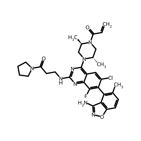 C=CC(=O)N1C[C@H](C)N(c2nc(NCCC(=O)N3CCCC3)nc3c(F)c(-c4c(C)ccc5onc(N)c45)c(Cl)cc23)C[C@H]1C